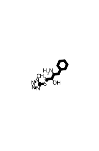 Cn1nnnc1SC[C@@H](O)[C@@H](N)CC1CCCCC1